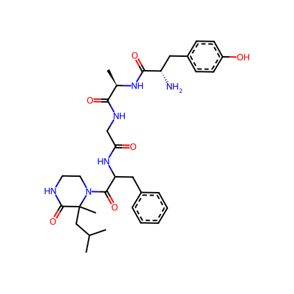 CC(C)CC1(C)C(=O)NCCN1C(=O)C(Cc1ccccc1)NC(=O)CNC(=O)[C@@H](C)NC(=O)[C@@H](N)Cc1ccc(O)cc1